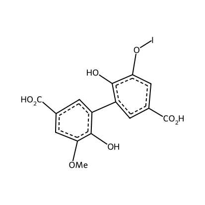 COc1cc(C(=O)O)cc(-c2cc(C(=O)O)cc(OI)c2O)c1O